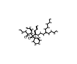 C=C/C=C(\CCCC(CCCC)CCCCC)C(Cl)(C1C=CCCC1)C(/C=C\C)C(Cl)CCC